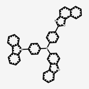 c1ccc2c(c1)ccc1nc(-c3ccc(N(c4ccc(-n5c6ccccc6c6ccccc65)cc4)c4ccc5oc6ccccc6c5c4)cc3)oc12